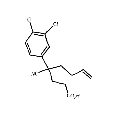 C=CCCC(C#N)(CCC(=O)O)c1ccc(Cl)c(Cl)c1